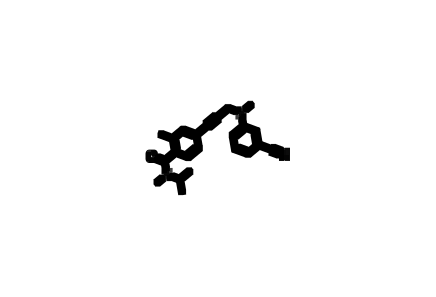 Cc1cc(C#CCN(C)c2cccc(C#N)c2)ccc1C(=O)N(C)C(C)C